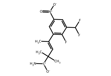 CC(=CC(C)(C)[S+](N)[O-])c1cc([N+](=O)[O-])cc(C(F)F)c1F